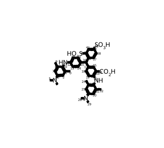 Cc1cc(N(C)C)cc(C)c1Nc1ccc(C(c2ccc(Nc3c(C)cc(N(C)C)cc3C)c(C(=O)O)c2)c2ccc(S(=O)(=O)O)cc2S(=O)(=O)O)cc1